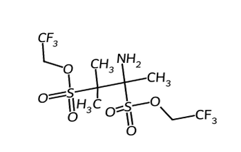 CC(C)(C(C)(N)S(=O)(=O)OCC(F)(F)F)S(=O)(=O)OCC(F)(F)F